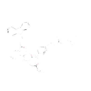 CCOC(=O)[C@H](N)CCC(=O)OCc1ccc(NC(=O)[C@H](CC(N)=O)NC(=O)[C@H](C)NC(=O)OCC2c3ccccc3-c3ccccc32)cc1